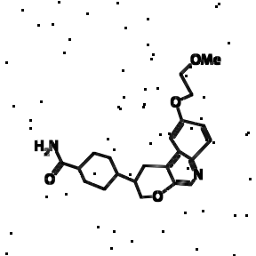 COCCOc1ccc2ncc3c(c2c1)CC(C1CCC(C(N)=O)CC1)CO3